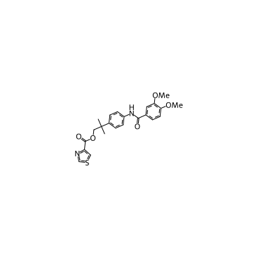 COc1ccc(C(=O)Nc2ccc(C(C)(C)COC(=O)c3cscn3)cc2)cc1OC